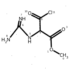 COC(=O)C(NC(=N)N)C(=O)Cl